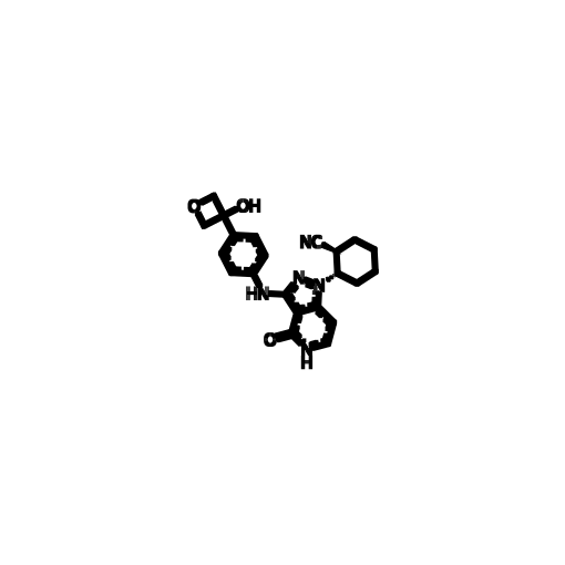 N#C[C@H]1CCCC[C@@H]1n1nc(Nc2ccc(C3(O)COC3)cc2)c2c(=O)[nH]ccc21